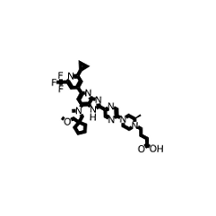 COCC1(CN(C)c2cc(-c3cc(C4CC4)nc(C(F)(F)F)c3)nc3nc(-c4cnc(N5CCN(CCCC(=O)O)[C@H](C)C5)cn4)[nH]c23)CCCC1